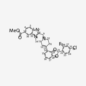 COC(=O)c1ccc2nc(CN3CC=C(c4cccc5c4OC(c4ccc(Cl)cc4F)O5)CC3)n(C)c2c1